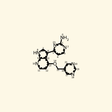 Nc1nccc(-c2c[nH]c3nccc(OCc4cncnc4)c23)n1